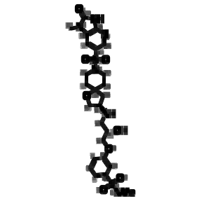 CNS(=O)(=O)c1cccc(OC[C@@H](O)CN[C@H]2COC3(CCN(S(=O)(=O)c4cnc5[nH]c(=O)n(C)c5c4)CC3)C2)c1